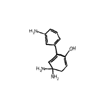 Nc1cccc(C2=CC(N)(N)CC=C2O)c1